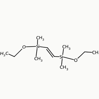 CCO[Si](C)(C)/C=C/[Si](C)(C)OCC